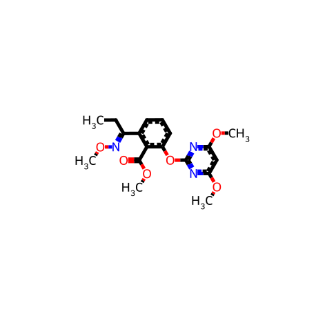 CCC(=NOC)c1cccc(Oc2nc(OC)cc(OC)n2)c1C(=O)OC